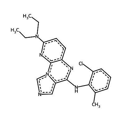 CCN(CC)c1ccc2nc(Nc3c(C)cccc3Cl)c3cncn3c2n1